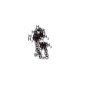 CC[C@H](C)[C@@H]1NC(=O)CNC(=O)[C@H]2CC3C4CCC(OC(=O)N(C)CCN(CCOCCOCCOCCNC(=O)C5=CCC6N=C(CBr)C(CBr)=NC6C5)C(=O)OCC5=CC=C(NC(=O)[C@H](CC(N)=O)NC(=O)[C@H](C)NC(=O)[C@H](C)NC(=O)CCOCCOCCOCCOCCOC)CC5)CC4NC3[S+]([O-])C[C@H](NC(=O)CNC1=O)C(=O)N[C@@H](CC(N)=O)C(=O)N1C[C@H](O)C[C@H]1C(=O)N[C@@H]([C@@H](C)[C@@H](O)CO)C(=O)N2